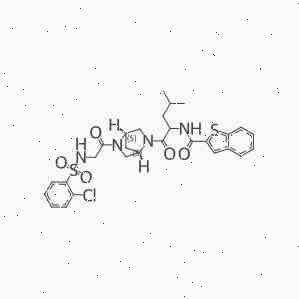 CC(C)CC(NC(=O)c1cc2ccccc2s1)C(=O)N1C[C@@H]2C[C@H]1CN2C(=O)CNS(=O)(=O)c1ccccc1Cl